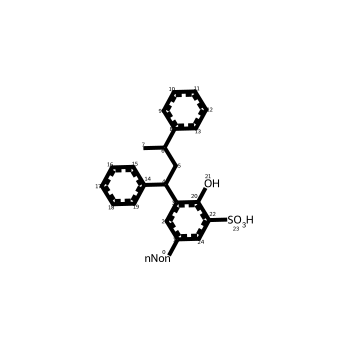 CCCCCCCCCc1cc(C(CC(C)c2ccccc2)c2ccccc2)c(O)c(S(=O)(=O)O)c1